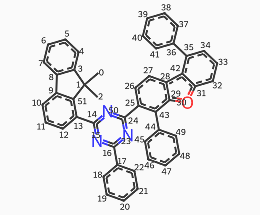 CC1(C)c2ccccc2-c2cccc(-c3nc(-c4ccccc4)nc(-c4ccc5c(oc6cccc(-c7ccccc7)c65)c4-c4ccccc4)n3)c21